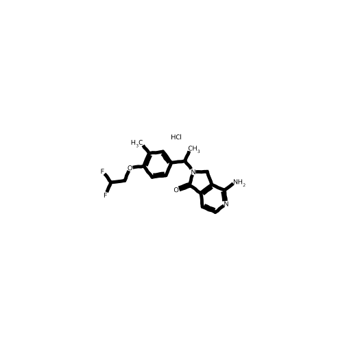 Cc1cc(C(C)N2Cc3c(ccnc3N)C2=O)ccc1OCC(F)F.Cl